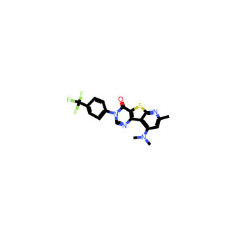 Cc1cc(N(C)C)c2c(n1)sc1c(=O)n(-c3ccc(C(F)(F)F)cc3)cnc12